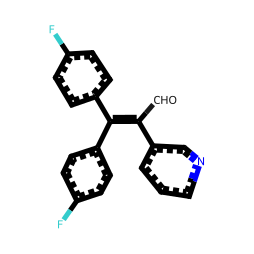 O=CC(=C(c1ccc(F)cc1)c1ccc(F)cc1)c1cccnc1